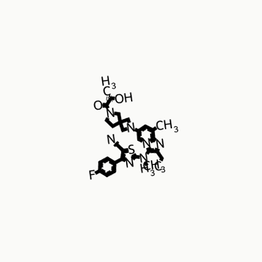 CCc1nc2c(C)cc(N3CC4(CCN(C(=O)[C@H](C)O)C4)C3)cn2c1N(C)c1nc(-c2ccc(F)cc2)c(C#N)s1